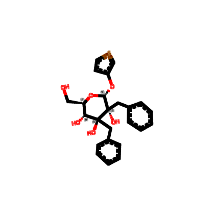 OC[C@H]1O[C@H](Oc2ccsc2)[C@@](O)(Cc2ccccc2)[C@](O)(Cc2ccccc2)[C@@H]1O